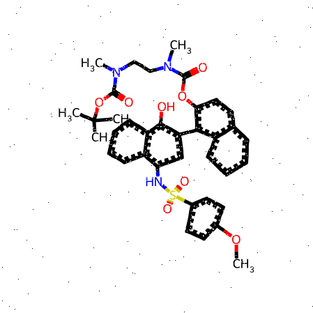 COc1ccc(S(=O)(=O)Nc2cc(-c3c(OC(=O)N(C)CCN(C)C(=O)OC(C)(C)C)ccc4ccccc34)c(O)c3ccccc23)cc1